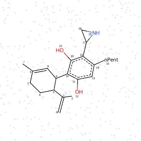 C=C(C)C1CCC(C)=CC1c1c(O)cc(CCCCC)c(C2CN2)c1O